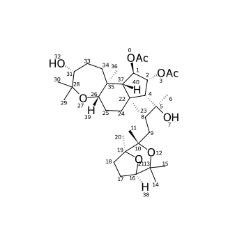 CC(=O)O[C@H]1[C@H](OC(C)=O)[C@H]([C@@](C)(O)CC[C@]2(C)OC(C)(C)[C@H]3CC[C@]2(C)O3)[C@@]2(C)CC[C@@H]3OC(C)(C)[C@H](O)CC[C@@]3(C)[C@H]12